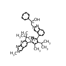 Cc1c(C(C)C)c(-c2cccc3nn(C[C@H](O)c4ccccc4)cc23)nn1-c1cc2cn(C)nc2nc1C(C)(C)C